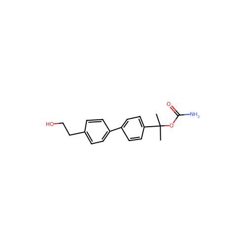 CC(C)(OC(N)=O)c1ccc(-c2ccc(CCO)cc2)cc1